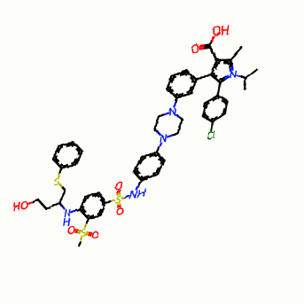 Cc1c(C(=O)O)c(-c2cccc(N3CCN(c4ccc(NS(=O)(=O)c5ccc(NC(CCO)CSc6ccccc6)c(S(C)(=O)=O)c5)cc4)CC3)c2)c(-c2ccc(Cl)cc2)n1C(C)C